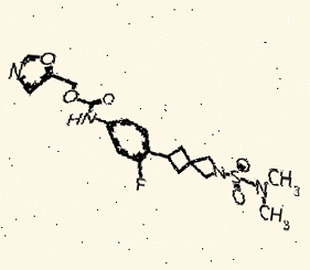 CN(C)S(=O)(=O)N1CC2(CC(c3ccc(NC(=O)OCc4cnco4)cc3F)C2)C1